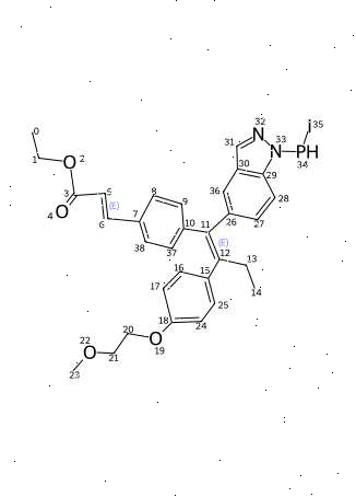 CCOC(=O)/C=C/c1ccc(/C(=C(/CC)c2ccc(OCCOC)cc2)c2ccc3c(cnn3PI)c2)cc1